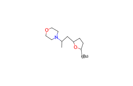 CC(CC1CCC(C(C)(C)C)O1)N1CCOCC1